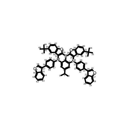 CC(C)c1cc2c3c(c1)N(c1ccc(-c4coc5ccccc45)cc1)c1c(oc4ccc(C(C)(C)C)cc14)B3c1oc3ccc(C(C)(C)C)cc3c1N2c1ccc(-c2coc3ccccc23)cc1